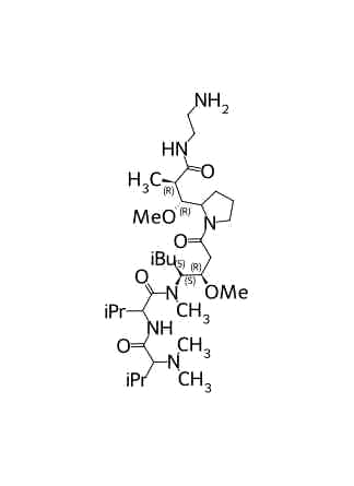 CC[C@H](C)[C@@H]([C@@H](CC(=O)N1CCCC1[C@H](OC)[C@@H](C)C(=O)NCCN)OC)N(C)C(=O)C(NC(=O)C(C(C)C)N(C)C)C(C)C